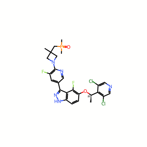 C[C@@H](Oc1ccc2[nH]nc(-c3cnc(N4CC(C)(CP(C)(C)=O)C4)c(F)c3)c2c1F)c1c(Cl)cncc1Cl